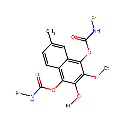 CCOc1c(OCC)c(OC(=O)NC(C)C)c2cc(C)ccc2c1OC(=O)NC(C)C